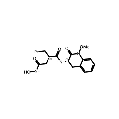 CON1C(=O)[C@@H](NC(=O)[C@@H](CC(=O)NO)CC(C)C)Cc2ccccc21